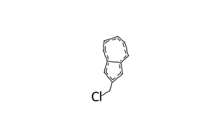 ClCc1cc2cccccc-2c1